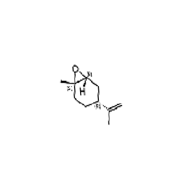 C=C(C)[C@@H]1CC[C@]2(C)O[C@@H]2C1